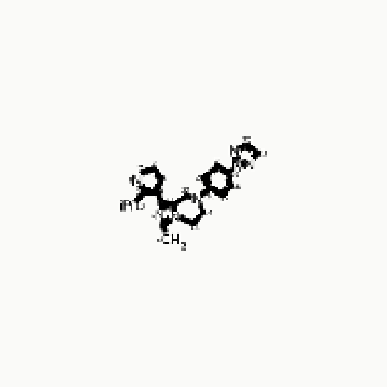 Cc1nc(-c2cccnc2C(C)C)c2n1CCN(c1ccc(-n3nccn3)cc1)C2